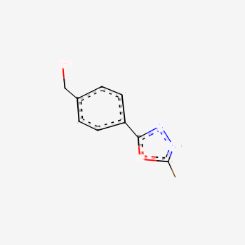 OCc1ccc(-c2nnc(S)o2)cc1